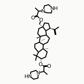 C=C(C)[C@@H]1CC[C@]2(COC(=O)C(C)N3CCNCC3)CC[C@]3(C)C(CCC4[C@@]5(C)CC[C@H](OC(=O)C(C)N6CCNCC6)C(C)(C)C5CC[C@]43C)C12